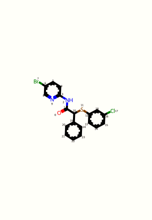 O=C(Nc1ccc(Br)cn1)C(Sc1cccc(Cl)c1)c1ccccc1